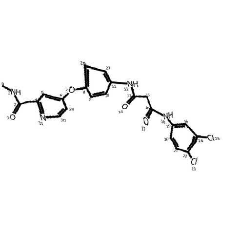 CNC(=O)c1cc(Oc2ccc(NC(=O)CC(=O)Nc3ccc(Cl)c(Cl)c3)cc2)ccn1